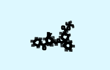 CC(C)(C)OC(=O)N1CCC(COCc2cc(Br)cc(C(=O)N3CCCCC3)c2)(c2ccccc2)CC1